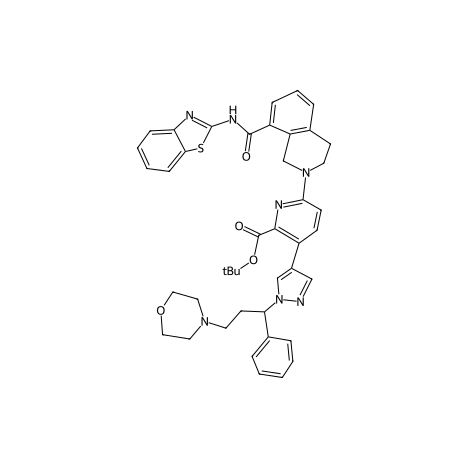 CC(C)(C)OC(=O)c1nc(N2CCc3cccc(C(=O)Nc4nc5ccccc5s4)c3C2)ccc1-c1cnn(C(CCN2CCOCC2)c2ccccc2)c1